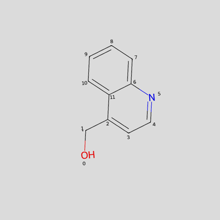 O[CH]c1ccnc2ccccc12